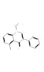 Cc1cccc2c1c(=O)c(-c1ccccc1)cn2CC(=O)O